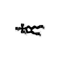 C=C/C=C1/CN(C(C)(C)CC)C/C1=C/C